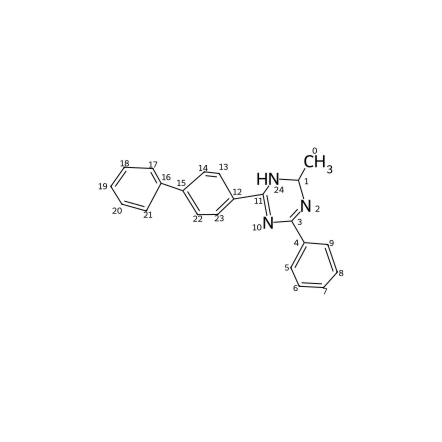 CC1N=C(c2ccccc2)N=C(c2ccc(-c3ccccc3)cc2)N1